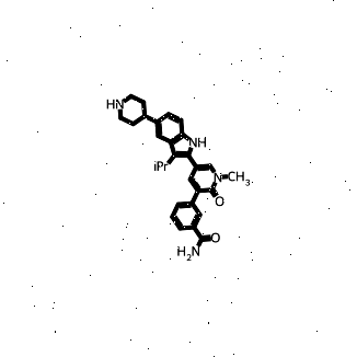 CC(C)c1c(-c2cc(-c3cccc(C(N)=O)c3)c(=O)n(C)c2)[nH]c2ccc(C3CCNCC3)cc12